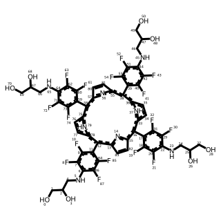 OCC(O)CNc1c(F)c(F)c(-c2c3nc(c(-c4c(F)c(F)c(NCC(O)CO)c(F)c4F)c4ccc([nH]4)c(-c4c(F)c(F)c(NCC(O)CO)c(F)c4F)c4nc(c(-c5c(F)c(F)c(NCC(O)CO)c(F)c5F)c5ccc2[nH]5)C=C4)C=C3)c(F)c1F